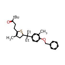 CCC(CC)(c1ccc(OCc2ccccc2)c(C)c1)C1CC(C)=C(CCC(=O)C(C)(C)C)S1